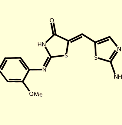 COc1ccccc1N=C1NC(=O)C(=Cc2cnc(N)s2)S1